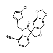 N#Cc1cccc2c1N(Cc1ccc(Cl)s1)C(=O)C21COc2cc3c(cc21)OCO3